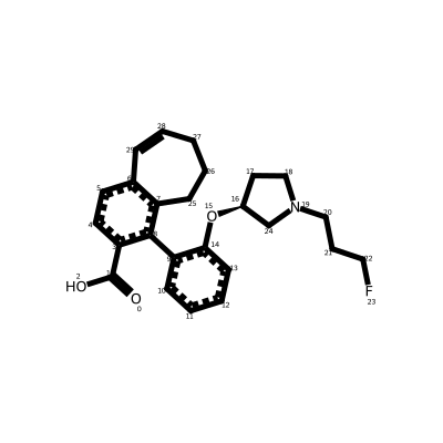 O=C(O)c1ccc2c(c1-c1ccccc1O[C@H]1CCN(CCCF)C1)CCCC=C2